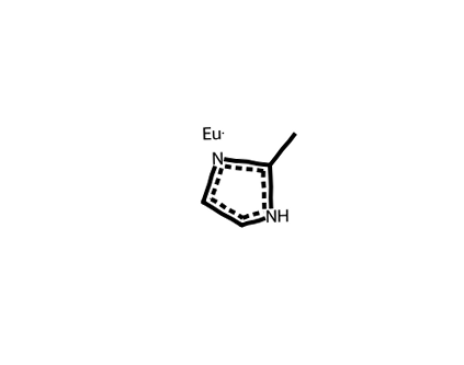 Cc1ncc[nH]1.[Eu]